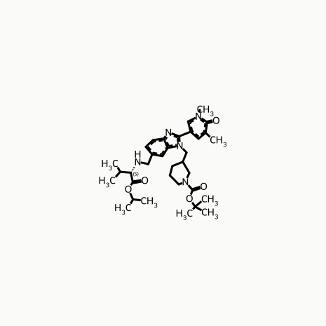 Cc1cc(-c2nc3ccc(CN[C@H](C(=O)OC(C)C)C(C)C)cc3n2CC2CCCN(C(=O)OC(C)(C)C)C2)cn(C)c1=O